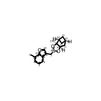 Cc1cccc2c(CB3O[C@@H]4C[C@H]5C[C@H](C5)[C@]4(C)O3)coc12